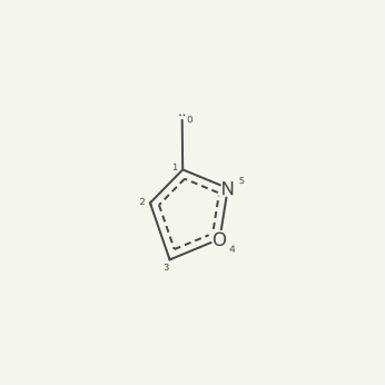 [CH]c1ccon1